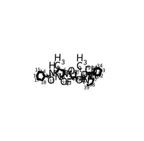 CC[C@H]1O[C@@H](n2cc(C)c(NC(=O)c3ccccc3)nc2=O)C(F)[C@H]1O[P@@]1O[C@](C)(c2ccccc2)[C@@H]2CCCN21